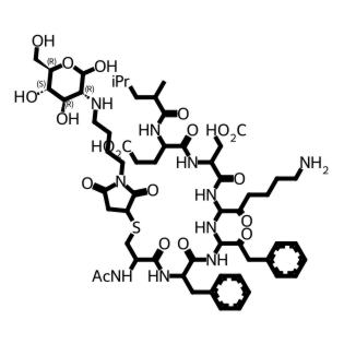 CC(=O)NC(CSC1CC(=O)N(CCCCN[C@H]2C(O)O[C@H](CO)[C@@H](O)[C@@H]2O)C1=O)C(=O)NC(Cc1ccccc1)C(=O)NC(NC(NC(=O)C(CC(=O)O)NC(=O)C(CCC(=O)O)NC(=O)C(C)CC(C)C)C(=O)CCCCN)C(=O)Cc1ccccc1